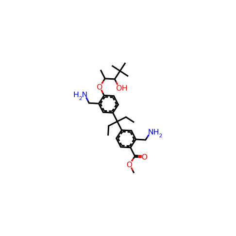 CCC(CC)(c1ccc(OC(C)C(O)C(C)(C)C)c(CN)c1)c1ccc(C(=O)OC)c(CN)c1